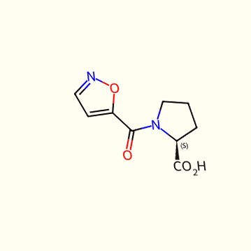 O=C(O)[C@@H]1CCCN1C(=O)c1ccno1